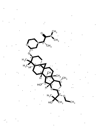 CCO[C@@H]([C@H]1C[C@@H](C)C2[C@H](O1)[C@H](O)[C@@]1(C)[C@@H]3CC[C@H]4C(C)(C)[C@@H](O[C@H]5CN([C@@H](C)C(=O)N(C)C)CCO5)CC[C@@]45CC35CC[C@]21C)C(C)(C)O